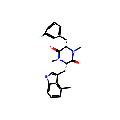 Cc1cccc2[nH]cc(C[C@H]3C(=O)N(C)[C@@H](Cc4cccc(F)c4)C(=O)N3C)c12